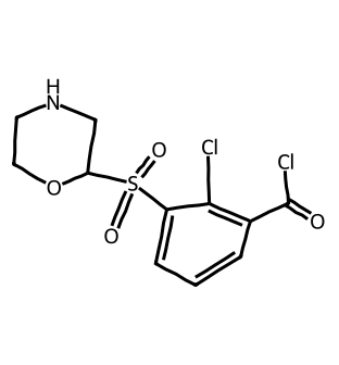 O=C(Cl)c1cccc(S(=O)(=O)C2CNCCO2)c1Cl